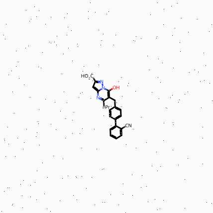 CCCc1nc2cc(C(=O)O)nn2c(O)c1Cc1ccc(-c2ccccc2C#N)cc1